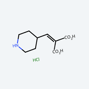 Cl.O=C(O)C(=CC1CCNCC1)C(=O)O